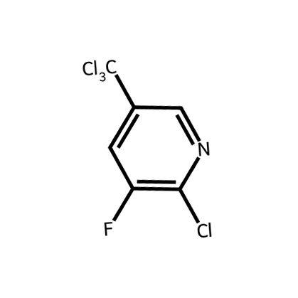 Fc1cc(C(Cl)(Cl)Cl)cnc1Cl